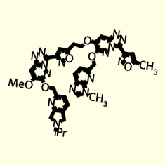 COc1cc2nnc(-c3cc(CCOc4cc5nnc(-c6cc(C)on6)n5nc4OCc4ccc5ncn(C)c5n4)on3)n2nc1OCc1ccc2c(n1)CN(C(C)C)C2